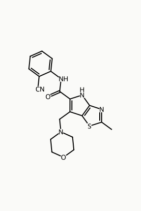 Cc1nc2[nH]c(C(=O)Nc3ccccc3C#N)c(CN3CCOCC3)c2s1